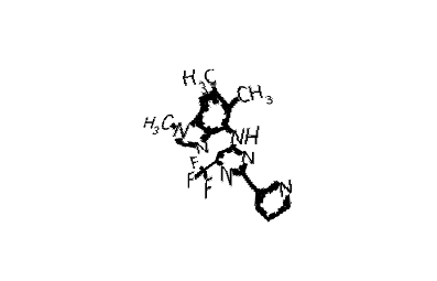 Cc1cc2c(ncn2C)c(Nc2cc(C(F)(F)F)nc(-c3cccnc3)n2)c1C